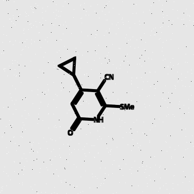 CSc1[nH]c(=O)cc(C2CC2)c1C#N